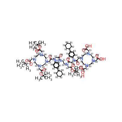 CC(C)(C)OC(=O)CN1CCN(CC(=O)OC(C)(C)C)CCN(CC(=O)N(CC(=O)NCCN(CC(=O)OC(C)(C)C)C(=O)CN(C(=O)CN2CCN(CC(=O)O)CCN(CC(=O)O)CCN(CC(=O)O)CC2)c2ccc(C3CCCCC3)cc2)c2ccc(C3CCCCC3)cc2)CCN(CC(=O)OC(C)(C)C)CC1